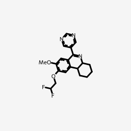 COc1cc2c(cc1OCC(F)F)C1CCCCC1N=C2c1cncnc1